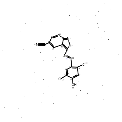 N#Cc1cnc2nsc(/N=N/c3cc(Cl)c(O)cc3Cl)c2c1